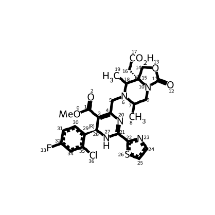 COC(=O)C1=C(CN2C(C)CN3C(=O)OC[C@]3(CC(=O)O)C2C)N=C(c2nccs2)N[C@H]1c1ccc(F)cc1Cl